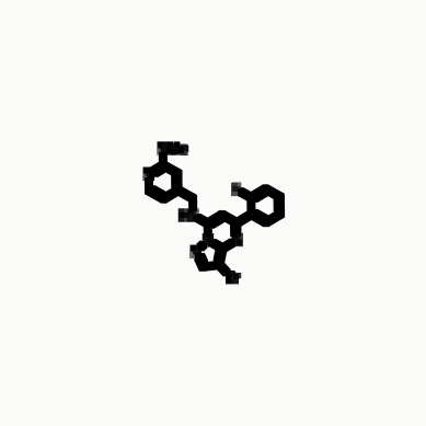 CNc1cc(CNc2cc(-c3ccccc3F)nc3c(Br)cnn23)ccn1